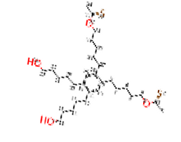 CC(=S)OCCCCCc1cc(CCCCCO)c(CCCCCO)cc1CCCCCOC(C)=S